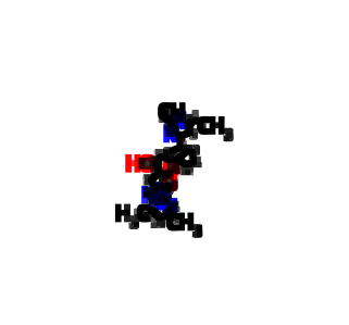 CCc1cc(CC[C@]2(C3CCCC3)CC(O)=C(Cc3nc4nc(C)cc(C)n4n3)C(=O)O2)nc(CC)n1